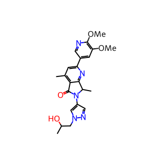 COc1cc(-c2cc(C)c3c(n2)C(C)N(c2cnn(CC(C)O)c2)C3=O)cnc1OC